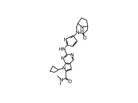 CN(C)C(=O)c1cc2cnc(Nc3ccc(N4CC5CCC(CC4=O)N5)cn3)nc2n1C1CCC1